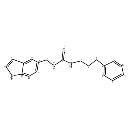 O=C(NCCCc1ccccc1)NCc1ccc2[nH]ccc2c1